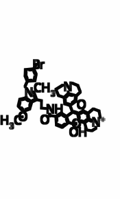 COc1ccc2c(c1)c(CCNC(=O)c1ccc(C(=O)O)c(C3=c4cc5c6c(c4Oc4c3cc3c7c4CCCN7CCC3)CCC[N+]=6CCC5)c1)c(C)n2Cc1ccc(Br)cc1